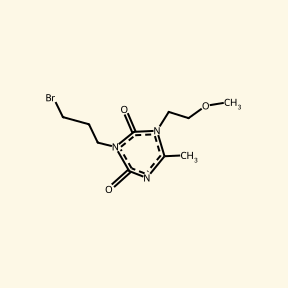 COCCn1c(C)nc(=O)n(CCCBr)c1=O